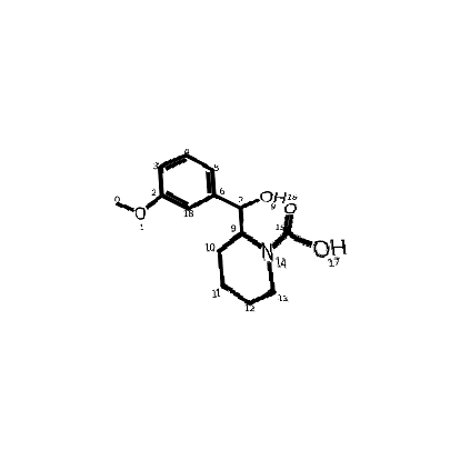 COc1cccc(C(O)C2CCCCN2C(=O)O)c1